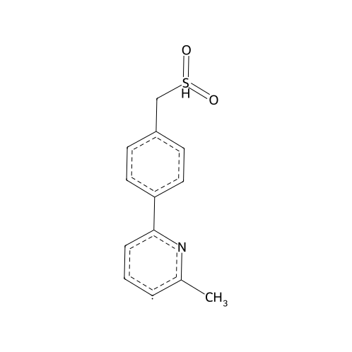 Cc1[c]ccc(-c2ccc(C[SH](=O)=O)cc2)n1